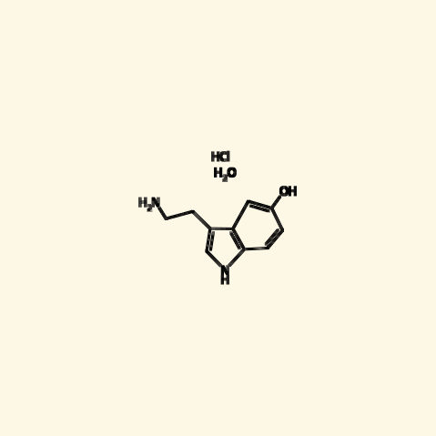 Cl.NCCc1c[nH]c2ccc(O)cc12.O